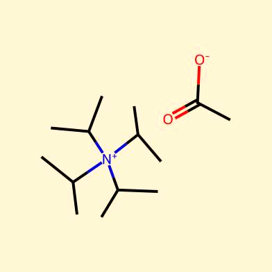 CC(=O)[O-].CC(C)[N+](C(C)C)(C(C)C)C(C)C